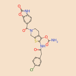 NC(=O)Oc1c(NC(=O)Cc2ccc(Cl)cc2)sc2c1CCN(C(=O)c1ccc3[nH]c(=O)oc3c1)C2